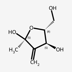 C=C1[C@H](O)[C@@H](CO)O[C@]1(C)O